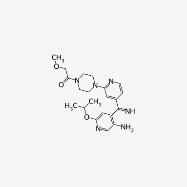 COCC(=O)N1CCN(c2cc(C(=N)c3cc(OC(C)C)ncc3N)ccn2)CC1